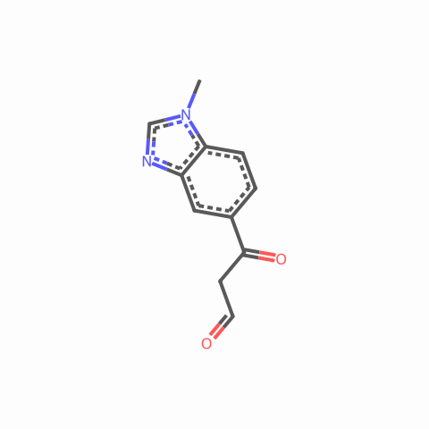 Cn1cnc2cc(C(=O)CC=O)ccc21